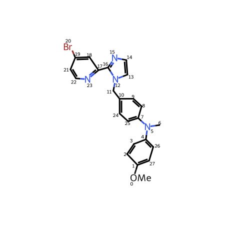 COc1ccc(N(C)c2ccc(Cn3ccnc3-c3cc(Br)ccn3)cc2)cc1